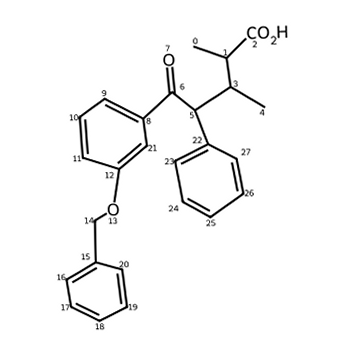 CC(C(=O)O)C(C)C(C(=O)c1cccc(OCc2ccccc2)c1)c1ccccc1